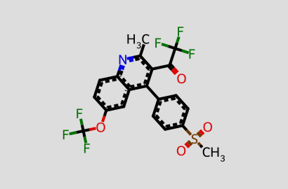 Cc1nc2ccc(OC(F)(F)F)cc2c(-c2ccc(S(C)(=O)=O)cc2)c1C(=O)C(F)(F)F